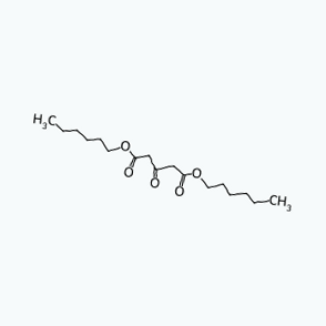 CCCCCCOC(=O)CC(=O)CC(=O)OCCCCCC